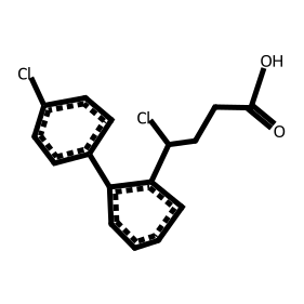 O=C(O)CCC(Cl)c1ccccc1-c1ccc(Cl)cc1